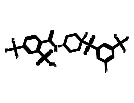 CS(=O)(=O)c1cc(C(F)(F)F)ccc1C(=O)N[C@H]1CC[C@](F)(S(=O)(=O)c2cc(F)cc(C(F)(F)F)c2)CC1